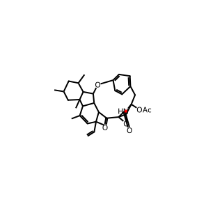 C=CC1(C)C=C(C)C2C3C(Oc4ccc(cc4)CC4(OC(C)=O)NC(=O)C5(OC45)C(=O)C31)C1C(C)CC(C)CC21C